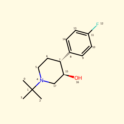 CC(C)(C)N1CC[C@H](c2ccc(F)cc2)[C@@H](O)C1